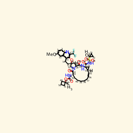 COc1ccc2nc(C(F)F)c3c(c2c1)CC[C@]1(C[C@H]2C(=O)N[C@]4(C(=O)NS(=O)(=O)C5(C)CC5)C[C@H]4/C=C\CCCCC[C@H](NC(=O)OC4(C)CCC4)C(=O)N2C1)O3